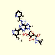 Cc1cncc(-c2nc(NCc3ccccn3)c3ncn([C@@H]4O[C@H](C(=O)NC5CC5)[C@@H](O)[C@H]4O)c3n2)c1